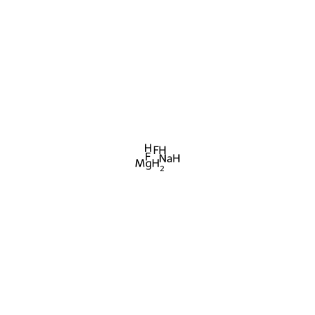 F.F.[MgH2].[NaH]